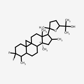 CC1C[C@@]2(C)C3CCC4C(C)C(F)(F)CCC45CC35CCC2(C)C1C1(C)CCC(C(C)(C)O)O1